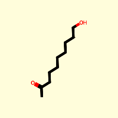 CC(=O)CCCCCC[CH]CO